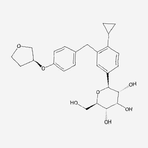 OC[C@H]1O[C@@H](c2ccc(C3CC3)c(Cc3ccc(O[C@H]4CCOC4)cc3)c2)[C@H](O)C(O)[C@@H]1O